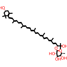 CC1=C(/C=C/C(C)=C/C=C/C(C)=C/C=C/C=C(C)/C=C/C=C(C)/C=C/C=C(C)/C=C/[C@H](O[C@@H]2O[C@@H](C)[C@@H](O)[C@@H](O)[C@@H]2O)C(C)(C)O)C(C)(C)C[C@H](O)C1